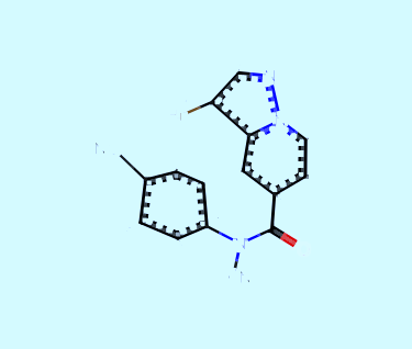 N#Cc1ccc(N(C#N)C(=O)c2ccn3ncc(Br)c3c2)cc1